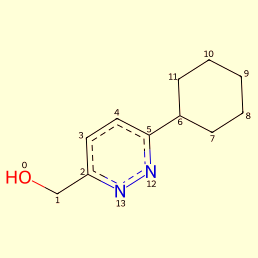 OCc1ccc(C2CCCCC2)nn1